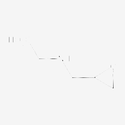 O=C(O)CNCC1CO1